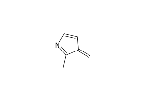 C=C1C=CN=C1C